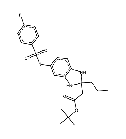 CCCC1(CC(=O)OC(C)(C)C)Nc2ccc(NS(=O)(=O)c3ccc(F)cc3)cc2N1